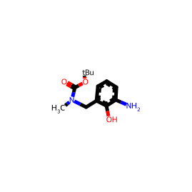 CN(Cc1cccc(N)c1O)C(=O)OC(C)(C)C